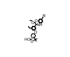 CCOC(=O)C(Nc1ccc(C#N)cc1)c1cc(CC)cc(OC2CCN(C(=O)O)C(C(C)(C)C)C2)c1